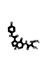 CNC(C)C(=O)N[C@H]1CO[C@H]2CCC(C(=O)Nc3ccc(Cl)cc3)N2C1=O